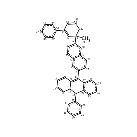 CC1(c2ccc3cc(C4=C5C=CC=CC5C(c5ccccc5)c5ccccc54)ccc3c2)C=C(c2ccncc2)C=NC1